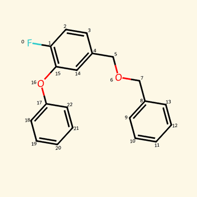 Fc1ccc(COCc2ccccc2)cc1Oc1ccccc1